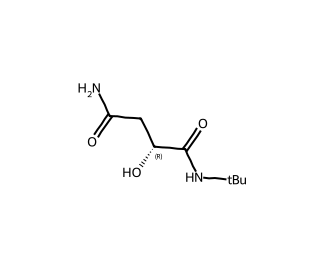 CC(C)(C)NC(=O)[C@H](O)CC(N)=O